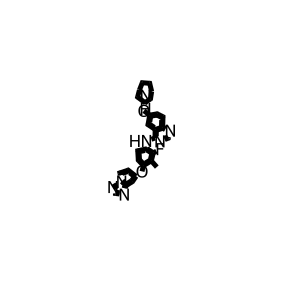 Cc1c(Oc2ccn3ncnc3c2)ccc(Nc2ncnc3ccc(OC4CC5CCC(C4)N5)cc23)c1F